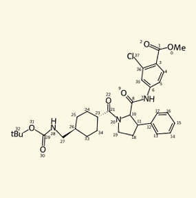 COC(=O)c1ccc(NC(=O)C2C(c3ccccc3)CCN2C(=O)[C@H]2CC[C@H](CNC(=O)OC(C)(C)C)CC2)cc1Cl